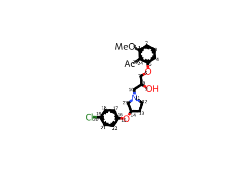 COc1cccc(OCC(O)CN2CCC(Oc3ccc(Cl)cc3)C2)c1C(C)=O